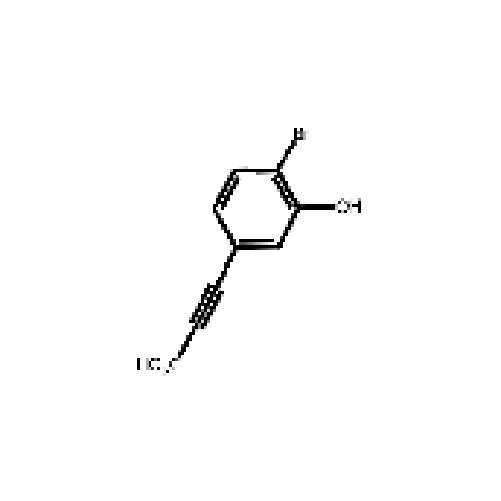 O=C(O)C#Cc1ccc(Br)c(O)c1